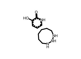 C1CCCNNNCC1.O=c1[nH]cccc1O